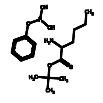 CCCCC(N)C(=O)OC(C)(C)C.OP(O)Oc1ccccc1